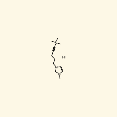 CN1C=CN(CCCC#C[Si](C)(C)C)C1.I